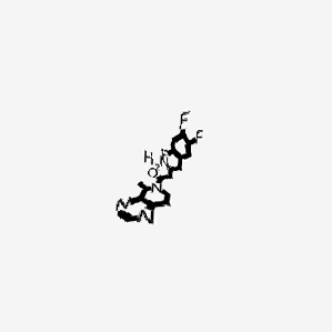 CC1c2nccnc2CCN1C(=O)C[C@H](N)Cc1cc(F)c(F)cc1F